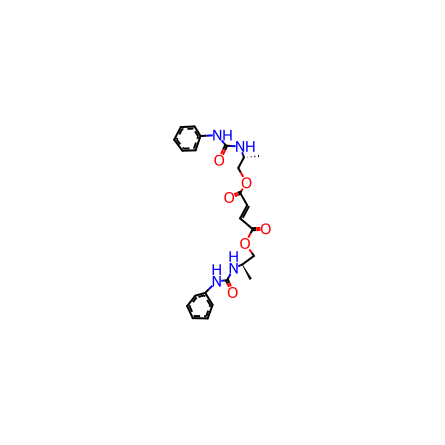 C[C@H](COC(=O)/C=C/C(=O)OC[C@@H](C)NC(=O)Nc1ccccc1)NC(=O)Nc1ccccc1